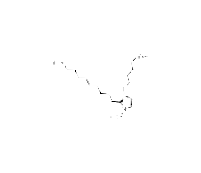 CCCCCCCCCCCCCCCCCCCc1n(CCCCCC)cc[n+]1CCCCCCCCCCCCCCC